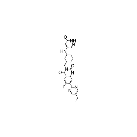 CCc1cnc(-c2cc3c(cc2I)c(=O)n(C[C@@H]2CCC[C@H](Nc4cn[nH]c(=O)c4C)C2)c(=O)n3C)nc1